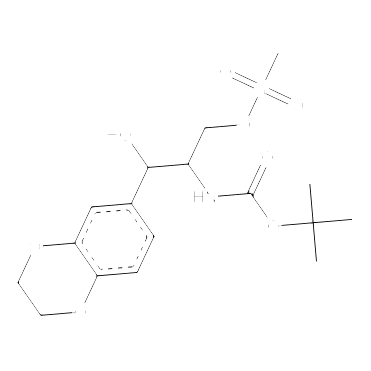 CC(C)(C)OC(=O)NC(COS(C)(=O)=O)C(O)c1ccc2c(c1)OCCO2